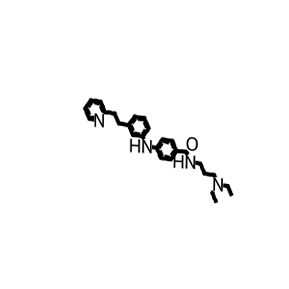 CCN(CC)CCCNC(=O)c1ccc(Nc2cccc(CCc3ccccn3)c2)cc1